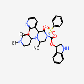 CCOc1ncccc1C1C(=O)[N+](C(=O)OC2CNc3ccccc32)(S(=O)(=O)c2ccccc2)CC(C#N)N1C1CCN(CC)CC1